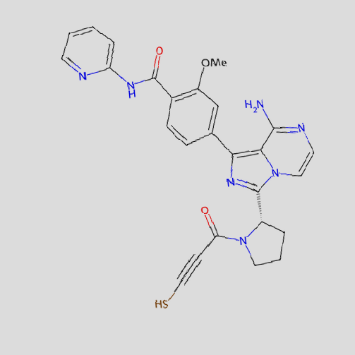 COc1cc(-c2nc([C@@H]3CCCN3C(=O)C#CS)n3ccnc(N)c23)ccc1C(=O)Nc1ccccn1